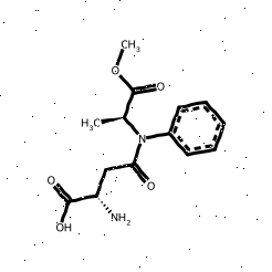 COC(=O)[C@H](C)N(C(=O)C[C@H](N)C(=O)O)c1ccccc1